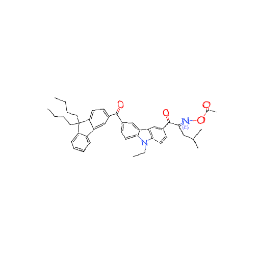 CCCCC1(CCCC)c2ccccc2-c2cc(C(=O)c3ccc4c(c3)c3cc(C(=O)/C(CC(C)C)=N/OC(C)=O)ccc3n4CC)ccc21